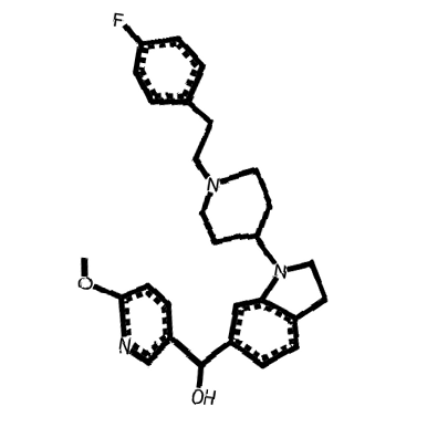 COc1ccc(C(O)c2ccc3c(c2)N(C2CCN(CCc4ccc(F)cc4)CC2)CC3)cn1